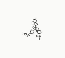 Cc1c(N(Cc2ccc(OC(F)F)cc2)S(=O)(=O)c2ccc(C(=O)O)cc2)sc2ccccc12